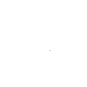 Fc1ccc(O[C@H]2CCOC2)c(C2CC[C@H](F)C2)c1